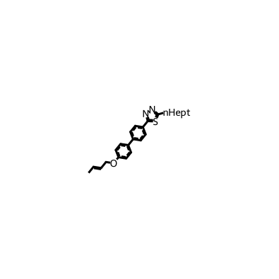 C/C=C/COc1ccc(-c2ccc(-c3nnc(CCCCCCC)s3)cc2)cc1